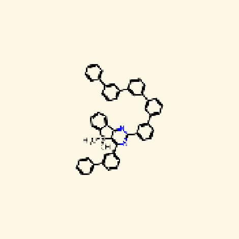 C[Si]1(C)c2ccccc2-c2nc(-c3cccc(-c4cccc(-c5cccc(-c6cccc(-c7ccccc7)c6)c5)c4)c3)nc(-c3cccc(-c4ccccc4)c3)c21